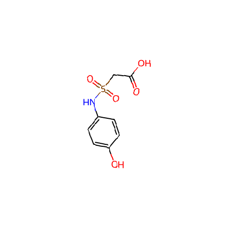 O=C(O)CS(=O)(=O)Nc1ccc(O)cc1